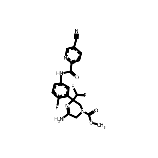 COC(=O)N1CC(N)=NC(c2cc(NC(=O)c3ccc(C#N)cn3)ccc2F)(C(F)F)C1